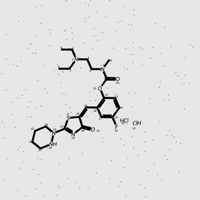 CCN(CC)CCN(C)C(=O)Oc1ccc(F)cc1C=C1SC(N2CCCCN2)=NC1=O.Cl.Cl